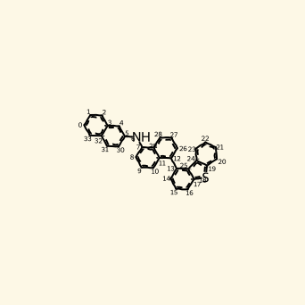 c1ccc2cc(Nc3cccc4c(-c5cccc6sc7ccccc7c56)cccc34)ccc2c1